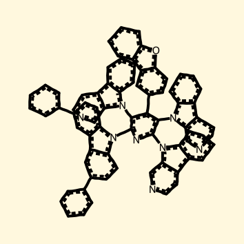 c1ccc(-c2ccc3c(c2)c2cc(-c4ccccc4)ccc2n3-c2nc(-n3c4ccccc4c4ccncc43)c(-n3c4ccccc4c4ccncc43)c(-c3ccc4oc5ccccc5c4c3)c2-n2c3ccccc3c3ccncc32)cc1